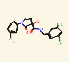 O=C(NCc1cc(F)cc(Cl)c1)[C@@]1(O)CCN(c2cccc(C(F)(F)F)c2)C1=O